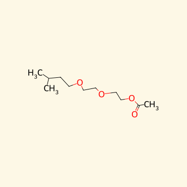 CC(=O)OCCOCCOCCC(C)C